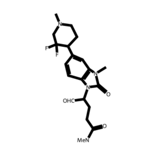 CNC(=O)CCC(C=O)n1c(=O)n(C)c2cc(C3CCN(C)CC3(F)F)ccc21